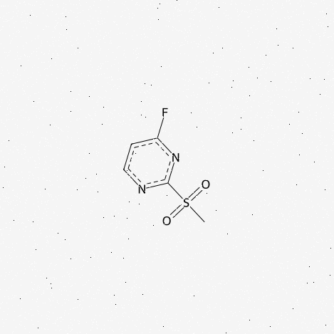 CS(=O)(=O)c1nccc(F)n1